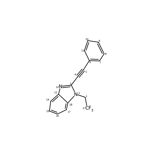 FC(F)(F)Cn1c(C#Cc2ccccc2)nc2ccccc21